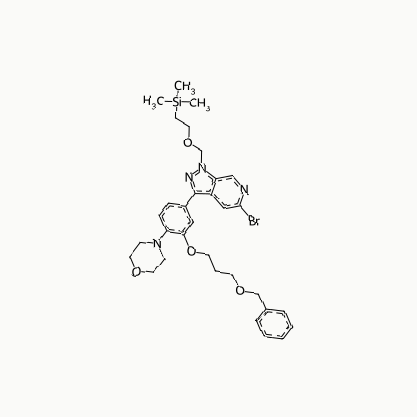 C[Si](C)(C)CCOCn1nc(-c2ccc(N3CCOCC3)c(OCCCOCc3ccccc3)c2)c2cc(Br)ncc21